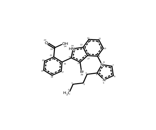 CCCCc1nccn1-c1cccc2[nH]c(-c3ccccc3C(=O)O)c(Br)c12